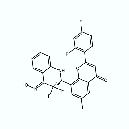 Cc1cc([C@@H](C)Nc2ccccc2/C(=N\O)C(F)(F)F)c2oc(-c3ccc(F)cc3F)cc(=O)c2c1